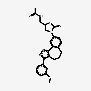 COc1cccc(-c2noc3c2CCCc2ccc(N4CC(CNC(C)=O)OC4=O)cc2-3)c1